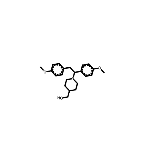 COc1ccc(CC(c2ccc(OC)cc2)N2CCC(CO)CC2)cc1